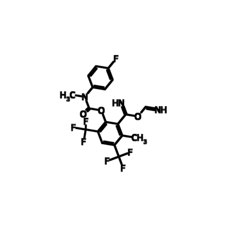 Cc1c(C(F)(F)F)cc(C(F)(F)F)c(OC(=O)N(C)c2ccc(F)cc2)c1C(=N)OC=N